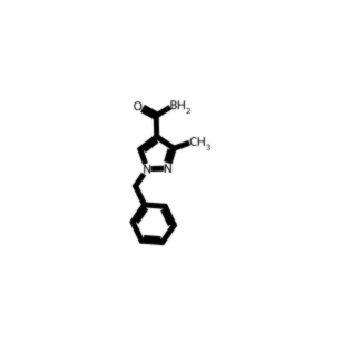 BC(=O)c1cn(Cc2ccccc2)nc1C